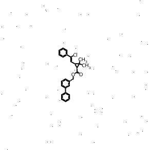 CC1(C)C(/C=C(\Cl)c2ccccc2)C1C(=O)OCc1cccc(-c2ccccc2)c1